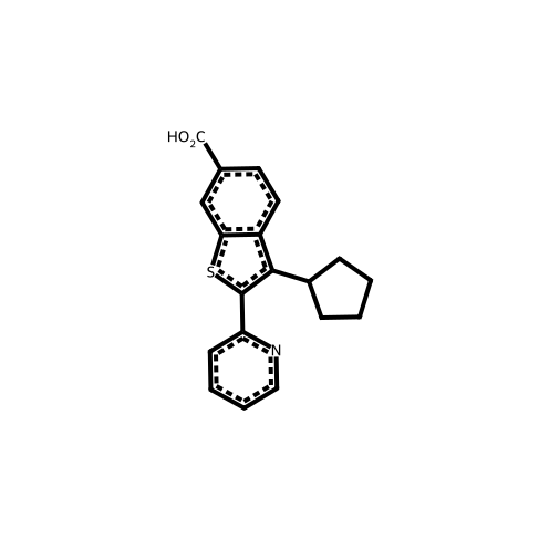 O=C(O)c1ccc2c(C3CCCC3)c(-c3ccccn3)sc2c1